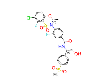 CCS(=O)(=O)c1ccc([C@H](CO)NC(=O)c2ccc(N3[C@H](C)Oc4ccc(Cl)c(F)c4S3(=O)=O)c(F)c2)cc1